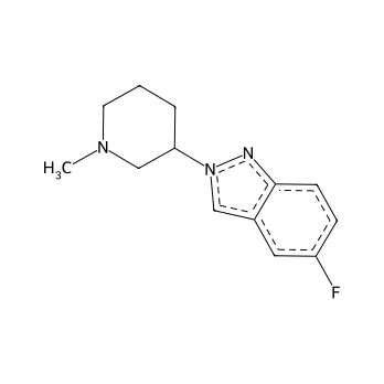 CN1CCCC(n2cc3cc(F)ccc3n2)C1